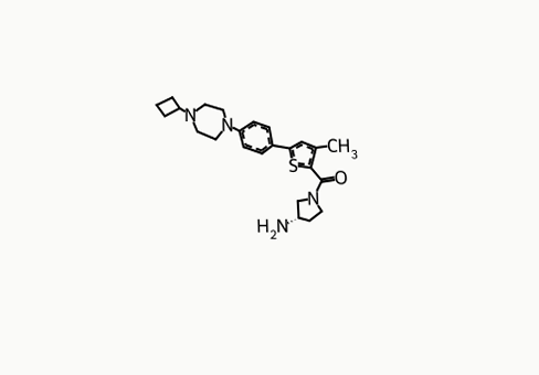 Cc1cc(-c2ccc(N3CCN(C4CCC4)CC3)cc2)sc1C(=O)N1CC[C@H](N)C1